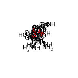 CC[C@H](C)[C@H](NC(=O)[C@H](CC(=O)O)NC(=O)[C@H](C)NC(=O)[C@H](CO)NC(=O)[C@H](CCCNC(=N)N)NC(=O)[C@H](CCCNC(=N)N)NC(=O)[C@H](CCCCN)NC(=O)[C@H](CCC(=O)O)NC(C)=O)C(=O)N[C@@H](Cc1ccccc1)C(=O)N[C@H](C(=O)N1CCNCC1)[C@@H](C)CC